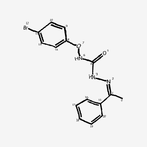 CC(=NNC(=O)NOc1ccc(Br)cc1)c1ccccc1